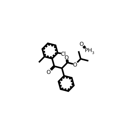 Cc1cccc(Cl)c1C(=O)C(C(=O)OC(C)C)c1ccccc1.O=[PH3]